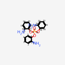 Nc1ccccc1OP(=O)(Oc1ccccc1N)Oc1ccccc1N